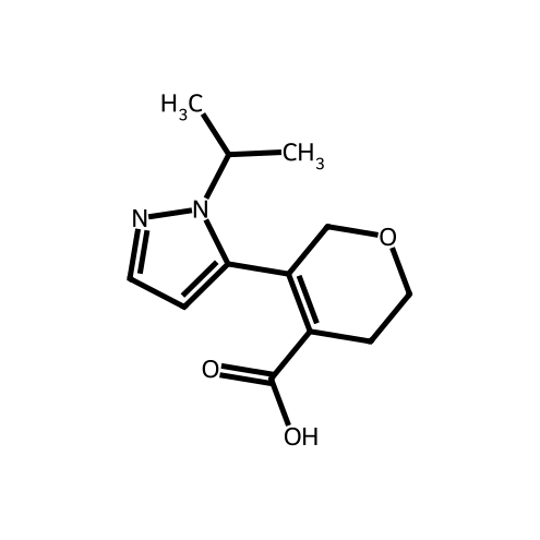 CC(C)n1nccc1C1=C(C(=O)O)CCOC1